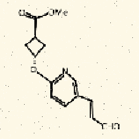 COC(=O)[C@H]1C[C@H](Oc2ccc(/C=C/C=O)cn2)C1